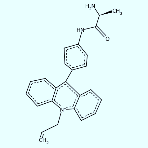 C=CC[n+]1c2ccccc2c(-c2ccc(NC(=O)[C@H](C)N)cc2)c2ccccc21